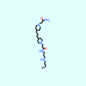 CC(C)CCCNCCCNC(=O)CCN1CCC(CCCC2CCN(CCC(N)=O)CC2)CC1